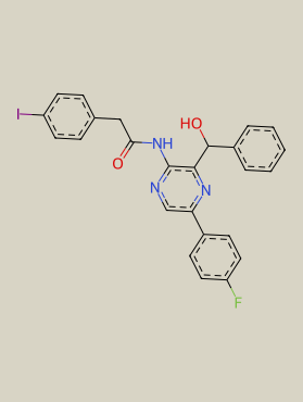 O=C(Cc1ccc(I)cc1)Nc1ncc(-c2ccc(F)cc2)nc1C(O)c1ccccc1